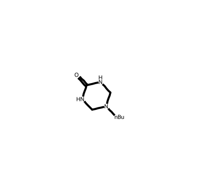 CCCCN1CNC(=O)NC1